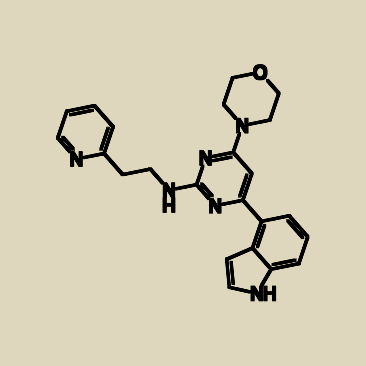 c1ccc(CCNc2nc(-c3cccc4[nH]ccc34)cc(N3CCOCC3)n2)nc1